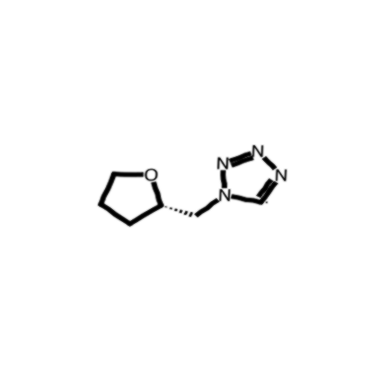 [c]1nnnn1C[C@@H]1CCCO1